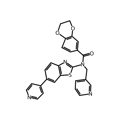 O=C(c1ccc2c(c1)OCCO2)N(Cc1cccnc1)c1nc2ccc(-c3ccncc3)cc2s1